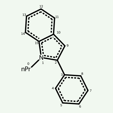 CCCn1c(-c2ccccc2)cc2ccccc21